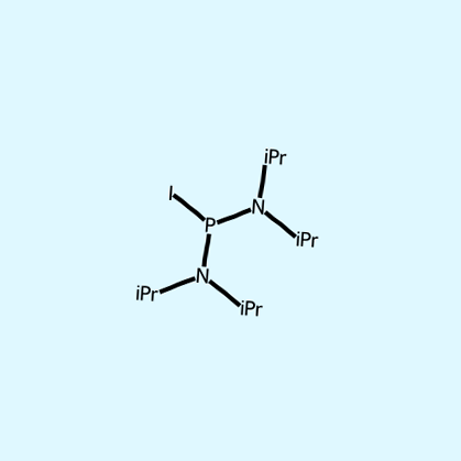 CC(C)N(C(C)C)P(I)N(C(C)C)C(C)C